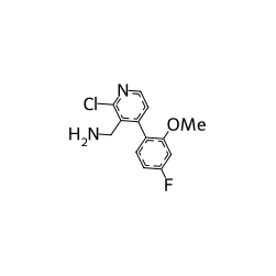 COc1cc(F)ccc1-c1ccnc(Cl)c1CN